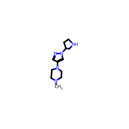 CN1CCN(c2cnn(C3CCNC3)c2)CC1